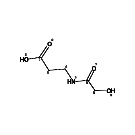 O=C(O)CCNC(=O)CO